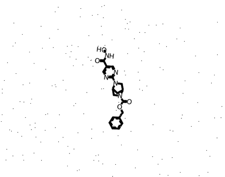 O=C(NO)c1cnc(N2CC3CC2CN3C(=O)OCc2ccccc2)nc1